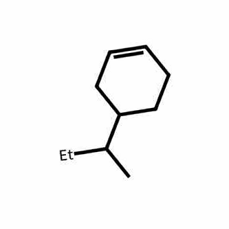 [CH2]CC(C)C1CC=CCC1